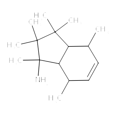 CC1C=CC(C)C2C1C(C)(C)C(C)(C)C2(C)N